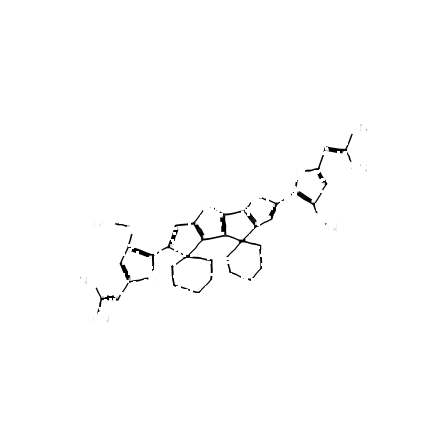 CCCOc1cc(C=C(C#N)C#N)sc1C1=Cc2sc3c(c2C12CCCCC2)C1(CCCCC1)c1cc(-c2sc(C=C(C#N)C#N)cc2OCCC)sc1-3